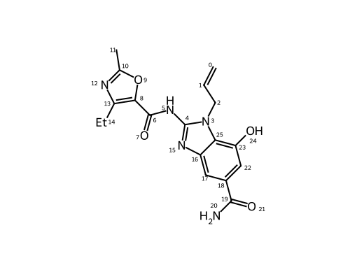 C=CCn1c(NC(=O)c2oc(C)nc2CC)nc2cc(C(N)=O)cc(O)c21